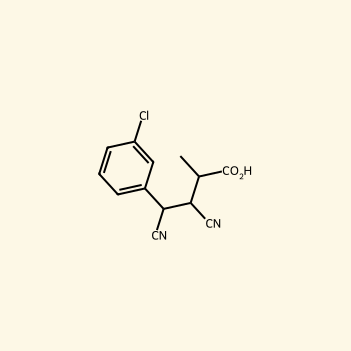 CC(C(=O)O)C(C#N)C(C#N)c1cccc(Cl)c1